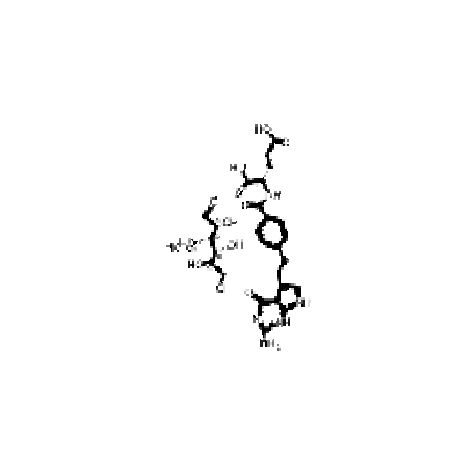 Nc1nc(=O)c2c(CCc3ccc(C(=O)N[C@@H](CCC(=O)O)C(=O)O)cc3)c[nH]c2[nH]1.O=C[C@H](O)[C@@H](O)[C@H](O)[C@H](O)CO.[KH].[KH]